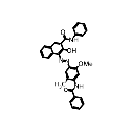 COc1cc(NC(=O)c2ccccc2)c(C)cc1/N=N/c1c(O)c(C(=O)Nc2ccccc2)cc2ccccc12